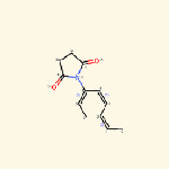 C\C=C/C=C\C(=C/C)N1C(=O)CCC1=O